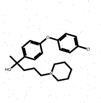 CC(O)(CCCN1CCCCC1)c1ccc(Oc2ccc(Cl)cc2)cc1